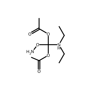 CC[SiH](CC)C(ON)(OC(C)=O)OC(C)=O